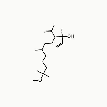 C=CC(C)(O)C(CCC(C)CCCC(C)(C)OC)C(=C)C